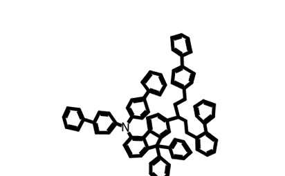 c1ccc(-c2ccc(CCC(CCc3ccccc3-c3ccccc3)c3ccc4c(c3)C(c3ccccc3)(c3ccccc3)c3cccc(N(c5ccc(-c6ccccc6)cc5)c5ccc(-c6ccccc6)cc5)c3-4)cc2)cc1